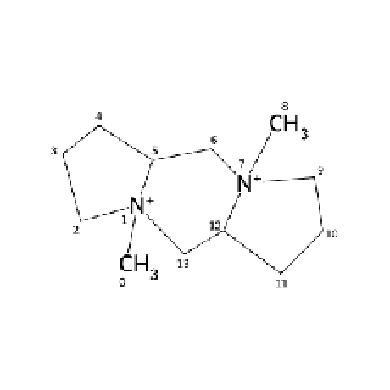 C[N+]12CCCC1C[N+]1(C)CCCC1C2